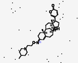 CC1CCN(CCO/N=C2/C=C3CC[C@@H]4CC(CC[C@]5(C)[C@@H](c6ccc(=O)oc6)CC[C@]45O)[C@@]3(C)CC2)CC1